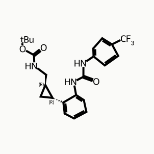 CC(C)(C)OC(=O)NC[C@@H]1C[C@H]1c1ccccc1NC(=O)Nc1ccc(C(F)(F)F)cc1